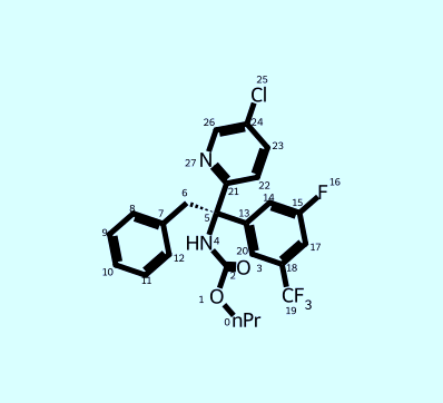 CCCOC(=O)N[C@](Cc1ccccc1)(c1cc(F)cc(C(F)(F)F)c1)c1ccc(Cl)cn1